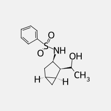 CC(O)[C@H]1[C@H]2C[C@H]2C[C@H]1NS(=O)(=O)c1ccccc1